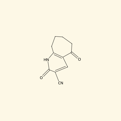 N#Cc1cc2c([nH]c1=O)CCCCC2=O